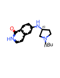 CCCCN1CC[C@H](Nc2ccc3c(=O)[nH]ccc3c2)C1